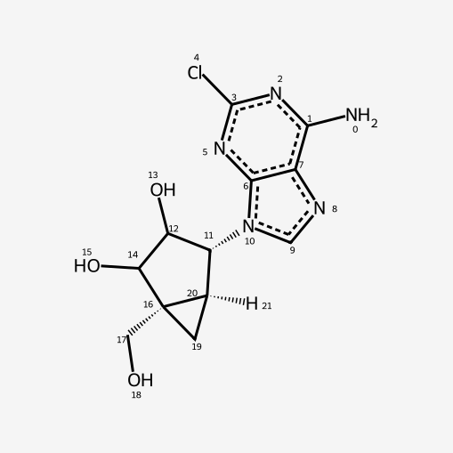 Nc1nc(Cl)nc2c1ncn2[C@H]1C(O)C(O)[C@]2(CO)C[C@H]12